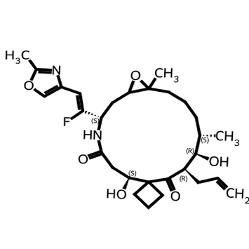 C=CC[C@H]1C(=O)C2(CCC2)[C@@H](O)CC(=O)N[C@H](C(F)=Cc2coc(C)n2)CC2OC2(C)CCC[C@H](C)[C@H]1O